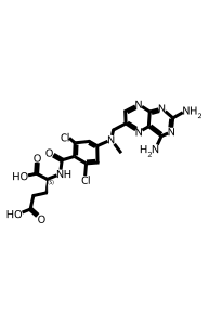 CN(Cc1cnc2nc(N)nc(N)c2n1)c1cc(Cl)c(C(=O)N[C@@H](CCC(=O)O)C(=O)O)c(Cl)c1